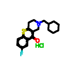 Cl.O=c1c2c(sc3ccc(F)cc13)CCN(CC1CCCCC1)C2